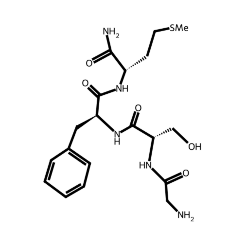 CSCC[C@H](NC(=O)[C@H](Cc1ccccc1)NC(=O)[C@H](CO)NC(=O)CN)C(N)=O